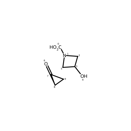 O=C(O)N1CC(O)C1.O=C1CC1